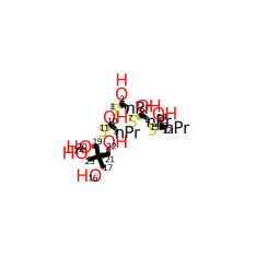 CCCC(O)=S.CCCC(O)=S.CCCC(O)=S.CCCC(O)=S.OCC(CO)(CO)CO